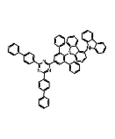 c1ccc(-c2ccc(-c3nc(-c4ccc(-c5ccccc5)cc4)nc(-c4cc(-c5ccccc5)c(-n5c6ccccc6c6c(-n7c8ccccc8c8ccccc87)cccc65)c(-c5ccccc5)c4)n3)cc2)cc1